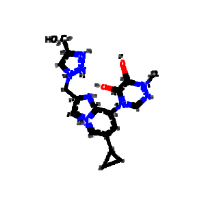 CCn1ncn(-c2cc(C3CC3)cn3cc(Cn4cc(C(=O)O)nn4)nc23)c(=O)c1=O